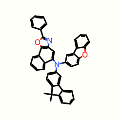 CC1(C)c2ccccc2-c2cc(N(c3ccc4oc5ccccc5c4c3)c3cc4nc(-c5ccccc5)oc4c4ccccc34)ccc21